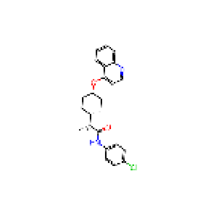 C[C@@H](C(=O)Nc1ccc(Cl)cc1)[C@H]1CC[C@H](Oc2ccnc3ccccc23)CC1